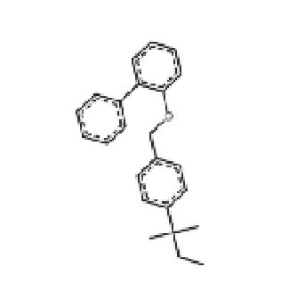 CCC(C)(C)c1ccc(COc2ccccc2-c2ccccc2)cc1